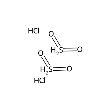 Cl.Cl.O=[SH2]=O.O=[SH2]=O